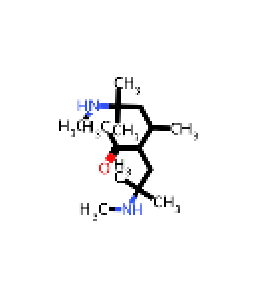 CNC(C)(C)CC(C)C(CC(C)(C)NC)C(C)=O